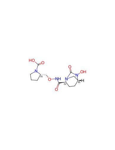 O=C(NOC[C@@H]1CCCN1C(=O)O)[C@@H]1CC[C@@H]2CN1C(=O)N2O